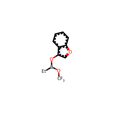 CCB(Oc1coc2ccccc12)OC(F)(F)F